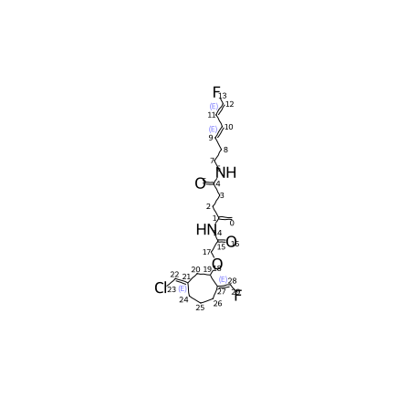 C=C(CCC(=O)NCC/C=C/C=C/F)NC(=O)COC1C/C(=C/Cl)CCC/C1=C\F